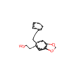 OCCc1cc2c(cc1Cc1ccccc1)OCO2